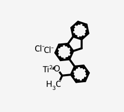 CC([O][Ti+2])c1ccccc1-c1cccc2c1Cc1ccccc1-2.[Cl-].[Cl-]